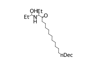 CCCCCCCCCCCCCCCCCCCCCC(=O)C(CC)NC(O)CC